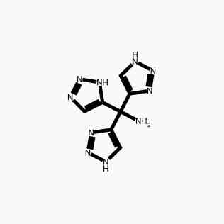 NC(c1c[nH]nn1)(c1c[nH]nn1)c1cnn[nH]1